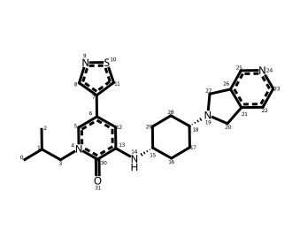 CC(C)Cn1cc(-c2cnsc2)cc(N[C@H]2CC[C@@H](N3Cc4ccncc4C3)CC2)c1=O